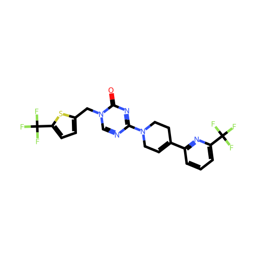 O=c1nc(N2CC=C(c3cccc(C(F)(F)F)n3)CC2)ncn1Cc1ccc(C(F)(F)F)s1